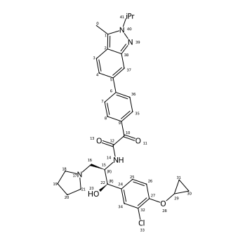 Cc1c2ccc(-c3ccc(C(=O)C(=O)N[C@H](CN4CCCC4)[C@H](O)c4ccc(OC5CC5)c(Cl)c4)cc3)cc2nn1C(C)C